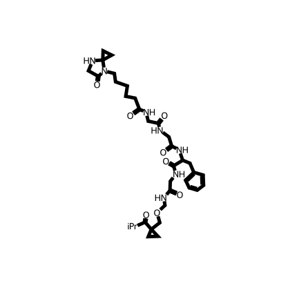 CC(C)C(=O)C1(COCNC(=O)CNC(=O)C(Cc2ccccc2)NC(=O)CNC(=O)CNC(=O)CCCCCN2C(=O)CNC23CC3)CC1